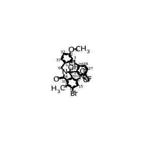 COc1ccc(CN2C(=O)c3c(C)c(Br)cc([N+](=O)[O-])c3C2(O)c2cc(F)ccc2Cl)cc1